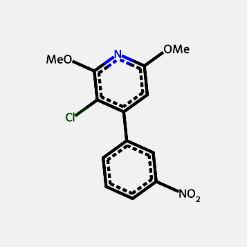 COc1cc(-c2cccc([N+](=O)[O-])c2)c(Cl)c(OC)n1